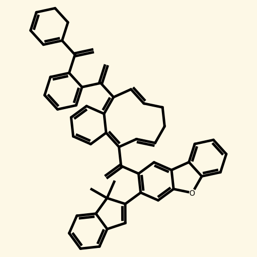 C=C(C1=CC=CCC1)c1ccccc1C(=C)C1=c2\cccc\c2=C(C(=C)c2cc3c(cc2C2=Cc4ccccc4C2(C)C)oc2ccccc23)\C=C\CC\C=C\1